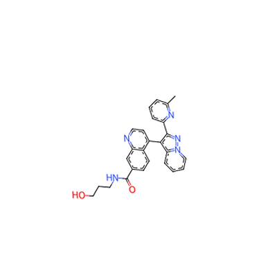 Cc1cccc(-c2nn3ccccc3c2-c2ccnc3cc(C(=O)NCCCO)ccc23)n1